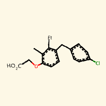 CCc1c(Cc2ccc(Cl)cc2)ccc(OCC(=O)O)c1C